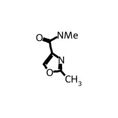 CNC(=O)c1coc(C)n1